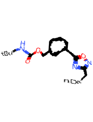 CCCCCCCCCCCc1noc(-c2cccc(COC(=O)NC(C)(C)C)c2)n1